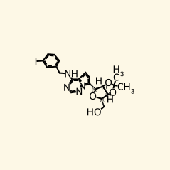 CC1(C)O[C@@H]2[C@H](O1)[C@@H](CO)O[C@H]2c1ccc2c(NCc3cccc(I)c3)ncnn12